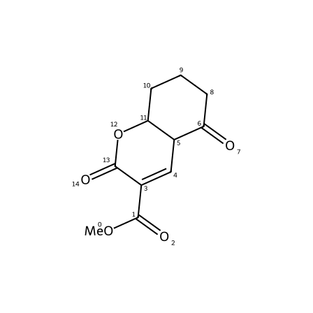 COC(=O)C1=CC2C(=O)CCCC2OC1=O